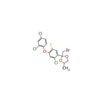 CC1COC(CBr)(c2cc(F)c(Oc3ccc(Cl)cc3Cl)cc2Cl)O1